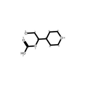 O=C(O)OC(CCl)C1CCOCC1